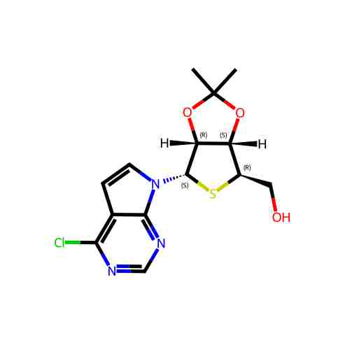 CC1(C)O[C@@H]2[C@H](O1)[C@@H](CO)S[C@@H]2n1ccc2c(Cl)ncnc21